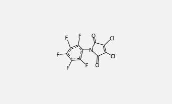 O=C1C(Cl)=C(Cl)C(=O)N1c1c(F)c(F)c(F)c(F)c1F